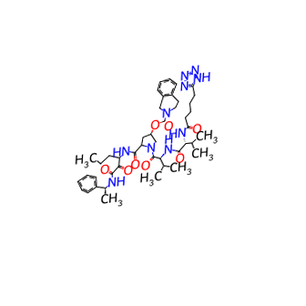 CCCC(NC(=O)C1C[C@@H](OC(=O)N2CCc3ccccc3C2)CN1C(=O)[C@@H](NC(=O)[C@H](NC(=O)CCCCc1nnn[nH]1)C(C)C)C(C)C)C(=O)C(=O)N[C@@H](C)c1ccccc1